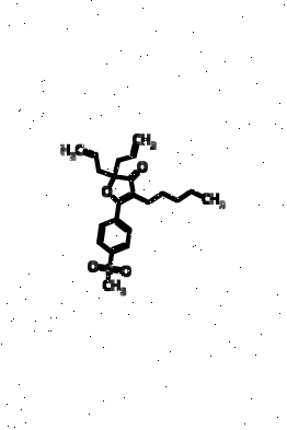 C=CCC1(CC=C)OC(c2ccc(S(C)(=O)=O)cc2)=C(CCCCC)C1=O